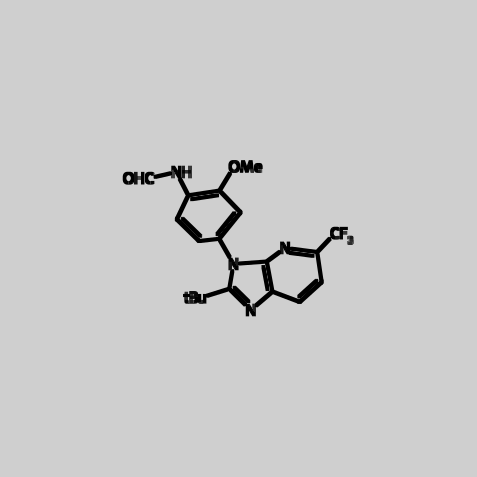 COc1cc(-n2c(C(C)(C)C)nc3ccc(C(F)(F)F)nc32)ccc1NC=O